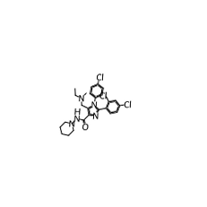 CCN(C)Cc1c(C(=O)NN2CCCCC2)nc(-c2ccc(Cl)cc2Cl)n1-c1ccc(Cl)cc1